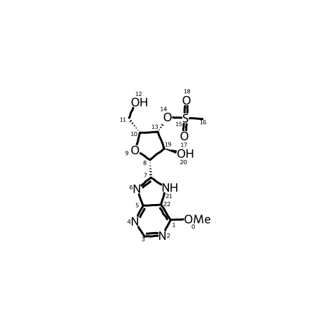 COc1ncnc2nc([C@@H]3O[C@H](CO)[C@H](OS(C)(=O)=O)[C@H]3O)[nH]c12